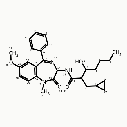 CCCCC(O)C(CC1CC1)C(=O)NC1N=C(c2ccccc2)c2cc(OC)ccc2N(C)C1=O